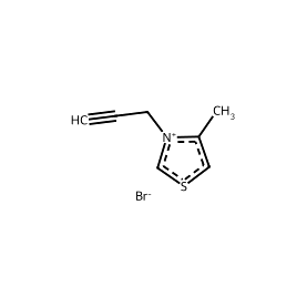 C#CC[n+]1cscc1C.[Br-]